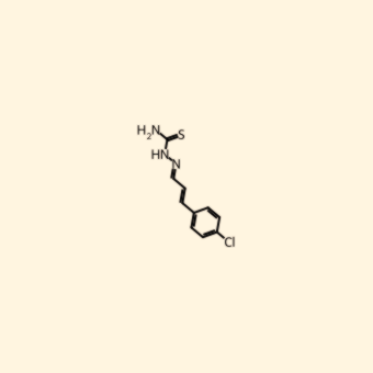 NC(=S)NN=CC=Cc1ccc(Cl)cc1